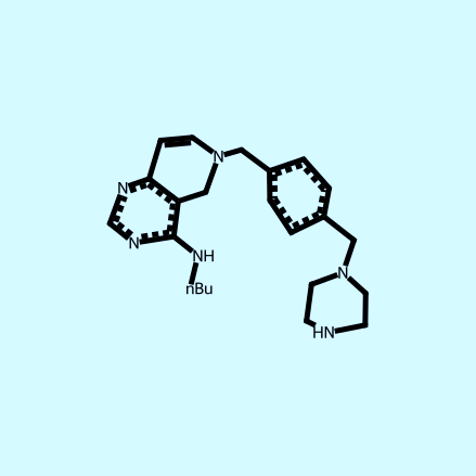 CCCCNc1ncnc2c1CN(Cc1ccc(CN3CCNCC3)cc1)C=C2